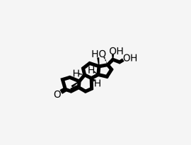 C[C@]12CCC(=O)C=C1CC[C@@H]1[C@@H]2CC[C@@]2(C)[C@H]1CC[C@]2(O)[C@@H](O)CO